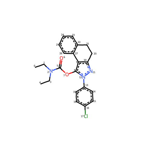 CCN(CC)C(=O)Oc1c2c(nn1-c1ccc(Cl)cc1)CCc1ccccc1-2